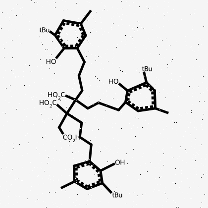 Cc1cc(CCCC(CCCc2cc(C)cc(C(C)(C)C)c2O)(C(=O)O)C(CCCc2cc(C)cc(C(C)(C)C)c2O)(CC(=O)O)C(=O)O)c(O)c(C(C)(C)C)c1